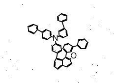 c1ccc(-c2ccc(N(c3ccc(-c4cccc5ccc6oc7c(-c8ccccc8)cccc7c6c45)cc3)c3cccc(-c4ccccc4)c3)cc2)cc1